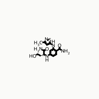 Cc1cc(Nc2cc(N[C@H](CCO)C(N)=O)ccc2C(N)=O)sn1